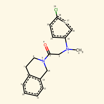 CN(CC(=O)N1CCc2ccccc2C1)c1ccc(Cl)cc1